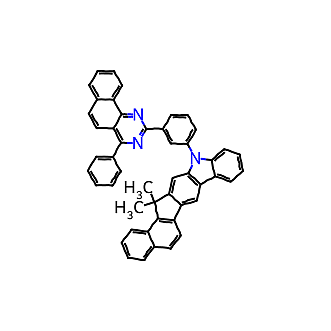 CC1(C)c2cc3c(cc2-c2ccc4ccccc4c21)c1ccccc1n3-c1cccc(-c2nc(-c3ccccc3)c3ccc4ccccc4c3n2)c1